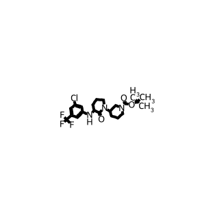 CC(C)(C)OC(=O)N1CCCC(N2CCCC(Nc3cc(Cl)cc(C(F)(F)F)c3)C2=O)C1